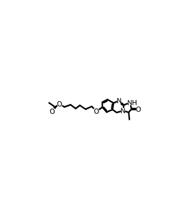 CC(=O)OCCCCCCOc1ccc2c(c1)CN1C(=N2)NC(=O)C1C